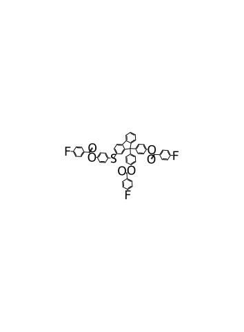 O=C(Oc1ccc(Sc2ccc3c(c2)C(c2ccc(OC(=O)c4ccc(F)cc4)cc2)(c2ccc(OC(=O)c4ccc(F)cc4)cc2)c2ccccc2-3)cc1)c1ccc(F)cc1